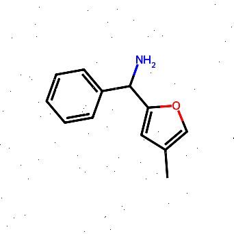 Cc1coc(C(N)c2ccccc2)c1